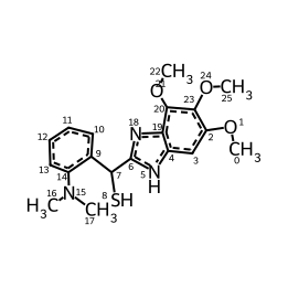 COc1cc2[nH]c(C(S)c3ccccc3N(C)C)nc2c(OC)c1OC